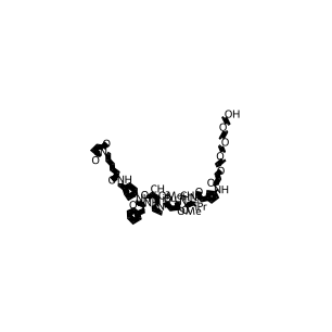 CC[C@H](C)[C@@H]([C@@H](CC(=O)N1CCC[C@H]1[C@H](OC)[C@@H](C)C(=O)N[C@@H](Cc1ccccc1)C(=O)Nc1ccc(CNC(=O)CCCCCN2C(=O)C=CC2=O)cc1)OC)N(C)C(=O)[C@@H](NC(=O)CC1CC[C@H](NC(=O)CCOCCOCCOCCOCCO)C1)C(C)C